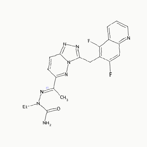 CCN(/N=C(\C)c1ccc2nnc(Cc3c(F)cc4ncccc4c3F)n2n1)C(N)=O